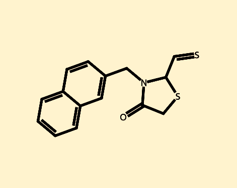 O=C1CSC(C=S)N1Cc1ccc2ccccc2c1